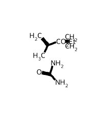 C=C.C=C(C)C(=O)OCC.NC(N)=O